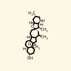 CC1C[C@]2(CC[C@@H]3C1C[C@H]1[C@H]3CC[C@@H]3C[C@@H](O)CC[C@@]31C)O[C@@H]1C[C@H](C)CN[C@H]1[C@H]2C